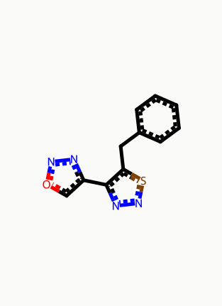 c1ccc(Cc2snnc2-c2conn2)cc1